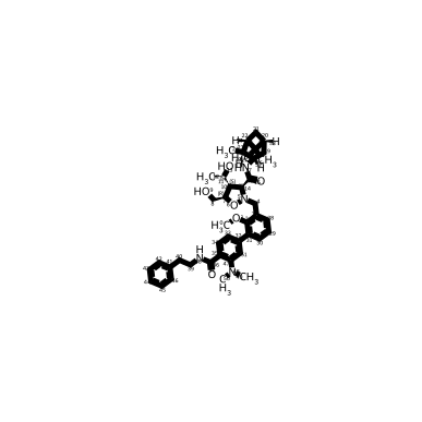 COc1c(CN2O[C@@H](CO)[C@H]([C@H](C)O)[C@H]2C(=O)N[C@H]2C[C@H]3C[C@@H]([C@@H]2C)C3(C)C)cccc1-c1ccc(C(=O)NCCc2ccccc2)c(N(C)C)c1